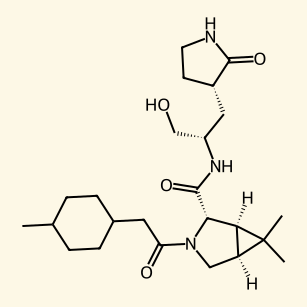 CC1CCC(CC(=O)N2C[C@H]3[C@@H]([C@H]2C(=O)N[C@H](CO)C[C@@H]2CCNC2=O)C3(C)C)CC1